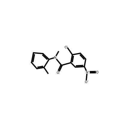 Cc1c[c]ccc1N(C)C(=O)c1cc([N+](=O)[O-])ccc1Cl